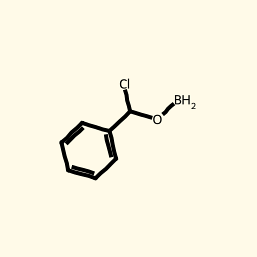 BOC(Cl)c1ccccc1